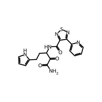 NC(=O)C(=O)C(CCc1ccc[nH]1)NC(=O)c1nsnc1-c1ccccn1